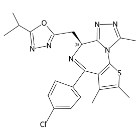 Cc1sc2c(c1C)C(c1ccc(Cl)cc1)=N[C@@H](Cc1nnc(C(C)C)o1)c1nnc(C)n1-2